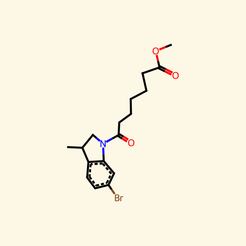 COC(=O)CCCCCC(=O)N1CC(C)c2ccc(Br)cc21